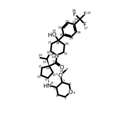 COC1COCCC1N[C@@H]1CC[C@@](C(=O)N2CCC(O)(c3ccc(C(F)(F)F)cc3)CC2)(C(C)C)C1